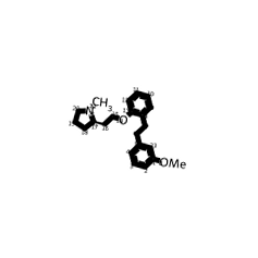 COc1cccc(CCc2ccccc2OCC[C@H]2CCCN2C)c1